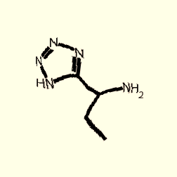 CCC(N)c1nnn[nH]1